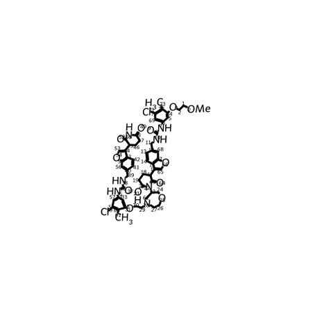 COCCOc1cc(NC(=O)NCc2ccc3c(C4CCC(O)N(C5COCCN(CCOc6cc(NC(=O)NCc7ccc8c(C9CCC(=O)NC9=O)coc8c7)cc(Cl)c6C)C5)C4=O)coc3c2)cc(Cl)c1C